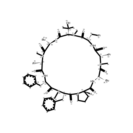 CC[C@@H](C)[C@@H]1NC(=O)[C@@H]2CCCN2C(=O)[C@H](Cc2ccccc2)N(C)C(=O)[C@H](Cc2ccccc2)NC(=O)[C@H](C(C)C)N(C)C(=O)[C@@H]([C@@H](C)CC)OC(=O)[C@H](C(C)(C)O)N(C)C(=O)[C@H](CC(C)C)NC(=O)[C@H](C(C)C)N(C)C1=O